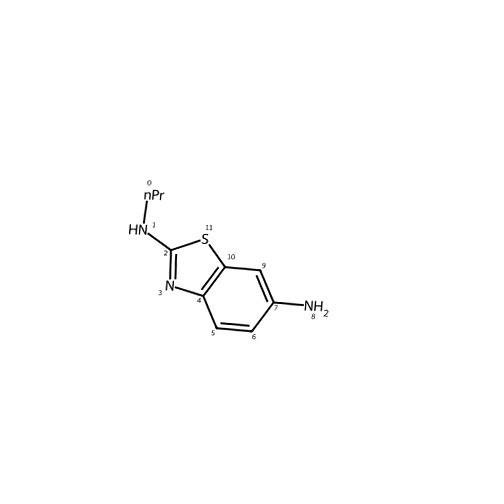 CCCNc1nc2ccc(N)cc2s1